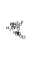 Cn1cc(-c2cc(CNS(=O)(=O)Cc3ccc(Cl)cc3)ccc2Oc2ccc(F)cc2F)c2cc[nH]c(=O)c21